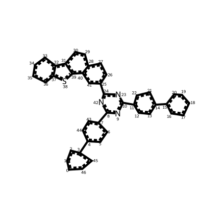 c1ccc(-c2ccc(-c3nc(-c4ccc(-c5ccccc5)cc4)nc(-c4ccc5ccc6c7ccccc7sc6c5c4)n3)cc2)cc1